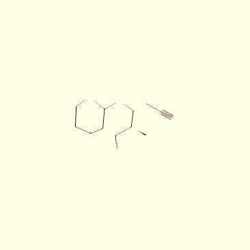 C#CC[C@@H](OC1CCCCO1)[C@@H](C)CO